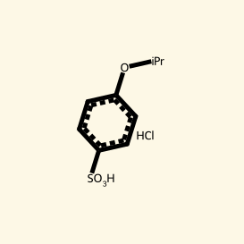 CC(C)Oc1ccc(S(=O)(=O)O)cc1.Cl